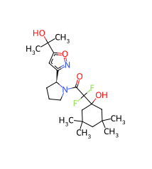 CC1(C)CC(C)(C)CC(O)(C(F)(F)C(=O)N2CCC[C@H]2c2cc(C(C)(C)O)on2)C1